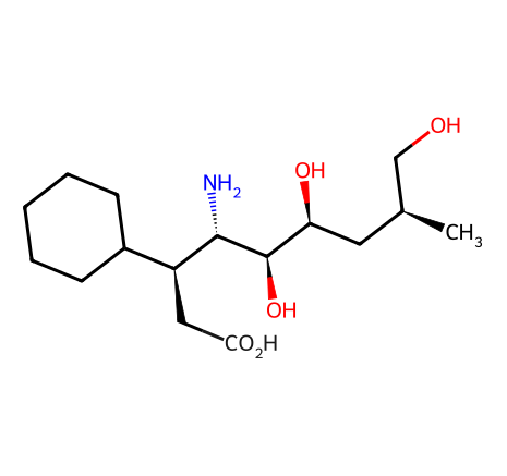 C[C@H](CO)C[C@H](O)[C@@H](O)[C@@H](N)[C@@H](CC(=O)O)C1CCCCC1